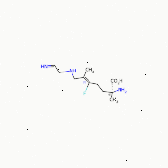 C/C(CNCC=N)=C(/F)CC[C@](C)(N)C(=O)O